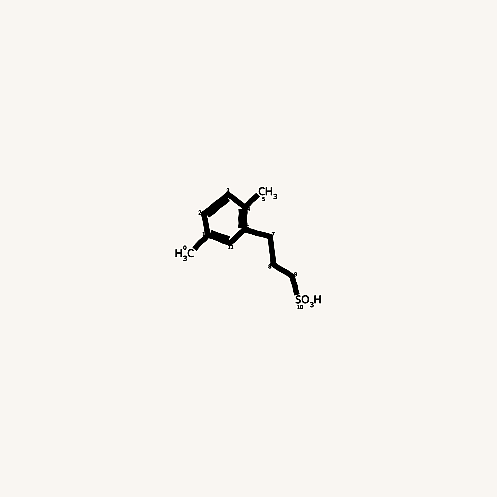 Cc1ccc(C)c(CCCS(=O)(=O)O)c1